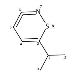 CC(C)C1=CC=C=NS1